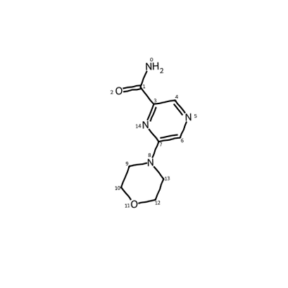 NC(=O)c1cncc(N2CCOCC2)n1